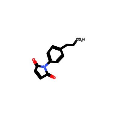 O=C(O)CCc1ccc(N2C(=O)C=CC2=O)cc1